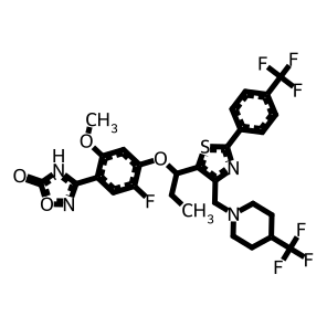 CCC(Oc1cc(OC)c(-c2noc(=O)[nH]2)cc1F)c1sc(-c2ccc(C(F)(F)F)cc2)nc1CN1CCC(C(F)(F)F)CC1